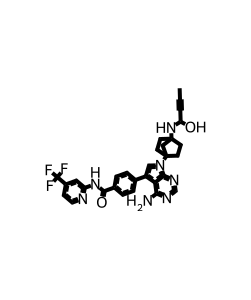 CC#CC(O)NC12CCC(n3cc(-c4ccc(C(=O)Nc5cc(C(F)(F)F)ccn5)cc4)c4c(N)ncnc43)(CC1)C2